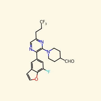 O=CC1CCN(c2nc(CCC(F)(F)F)cnc2-c2cc(F)c3occc3c2)CC1